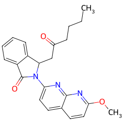 CCCCC(=O)CC1c2ccccc2C(=O)N1c1ccc2ccc(OC)nc2n1